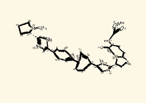 COC(=O)N[C@H]1CCC2SC[C@@H](c3ncc(-c4ccc(-c5ccc(-c6cnc([C@@H]7CCCN7C)[nH]6)cc5)cc4)[nH]3)N2C1=O